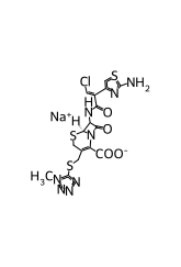 Cn1nnnc1SCC1=C(C(=O)[O-])N2C(=O)C(NC(=O)C(=CCl)c3csc(N)n3)[C@@H]2SC1.[Na+]